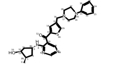 [CH2][C@@H]1C[C@@H](Nc2ncncc2C(=O)c2cc(CN3CCN(c4ccccc4)CC3)cs2)C[C@@H]1O